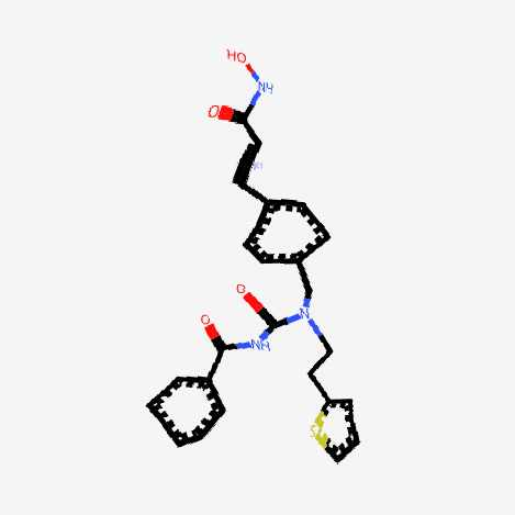 O=C(/C=C/c1ccc(CN(CCc2cccs2)C(=O)NC(=O)c2ccccc2)cc1)NO